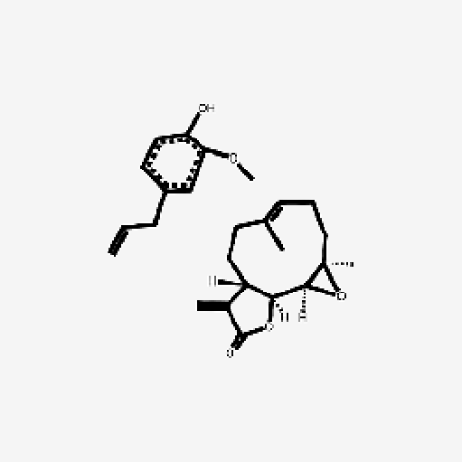 C=C1C(=O)O[C@H]2[C@H]1CC/C(C)=C/CC[C@@]1(C)O[C@@H]21.C=CCc1ccc(O)c(OC)c1